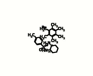 Cc1c(C)c(C)c(C)c(C)c1C.Cc1ccc(S(=O)(=O)N[C@@H]2CCCC[C@H]2N)cc1.[Ru]